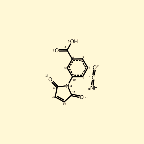 N=C=O.O=C(O)c1cccc(N2C(=O)C=CC2=O)c1